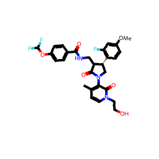 COc1ccc([C@@H]2CN(c3c(C)ccn(CCO)c3=O)C(=O)C2CNC(=O)c2ccc(OC(F)F)cc2)c(F)c1